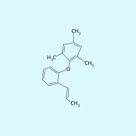 CC=Cc1ccccc1Oc1c(C)cc(C)cc1C